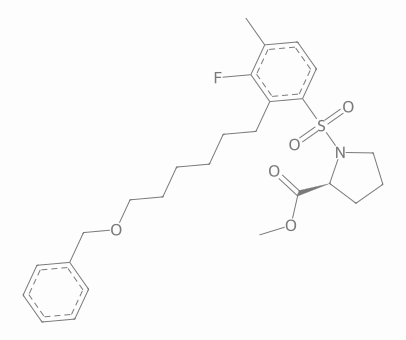 COC(=O)[C@@H]1CCCN1S(=O)(=O)c1ccc(C)c(F)c1CCCCCCOCc1ccccc1